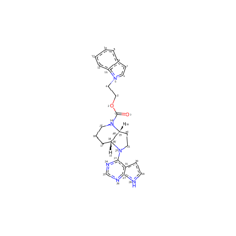 O=C(OCCn1ccc2ccccc21)N1CCC[C@@H]2[C@H]1CCN2c1ncnc2[nH]ccc12